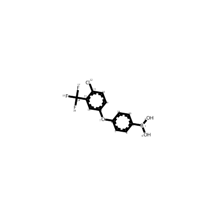 OB(O)c1ccc(Oc2ccc(Cl)c(C(F)(F)F)c2)cc1